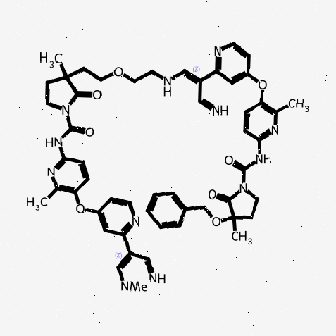 CN/C=C(\C=N)c1cc(Oc2ccc(NC(=O)N3CCC(C)(CCOCCN/C=C(\C=N)c4cc(Oc5ccc(NC(=O)N6CCC(C)(OCc7ccccc7)C6=O)nc5C)ccn4)C3=O)nc2C)ccn1